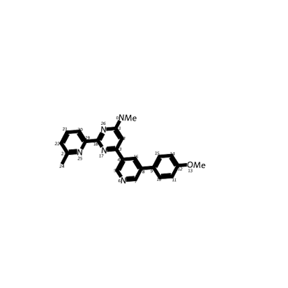 CNc1cc(-c2cncc(-c3ccc(OC)cc3)c2)nc(-c2cccc(C)n2)n1